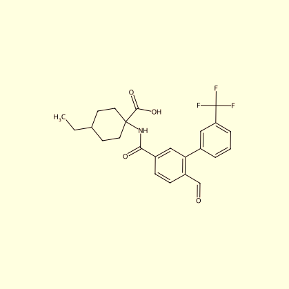 CCC1CCC(NC(=O)c2ccc(C=O)c(-c3cccc(C(F)(F)F)c3)c2)(C(=O)O)CC1